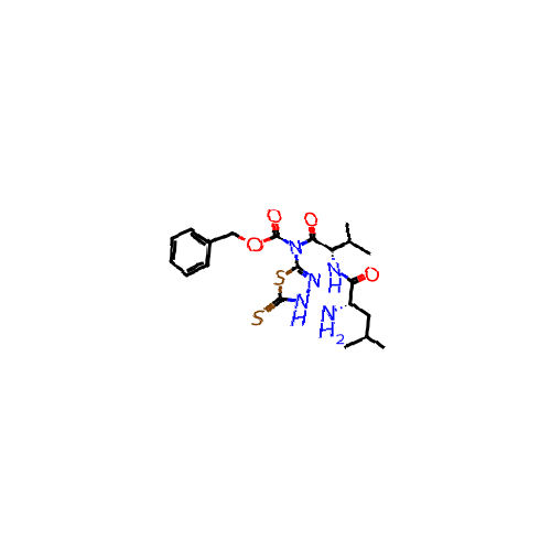 CC(C)C[C@H](N)C(=O)N[C@H](C(=O)N(C(=O)OCc1ccccc1)c1n[nH]c(=S)s1)C(C)C